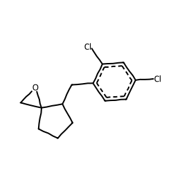 Clc1ccc(CC2CCCC23CO3)c(Cl)c1